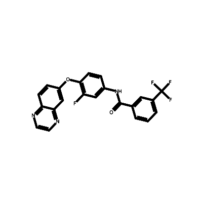 O=C(Nc1ccc(Oc2ccc3nccnc3c2)c(F)c1)c1cccc(C(F)(F)F)c1